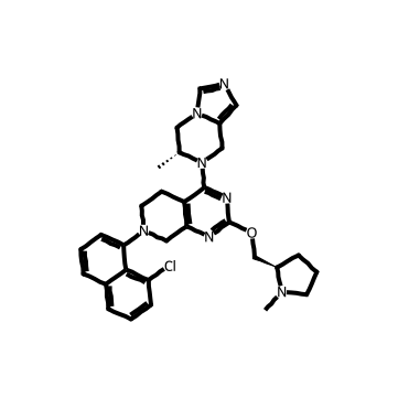 C[C@@H]1Cn2cncc2CN1c1nc(OC[C@H]2CCCN2C)nc2c1CCN(c1cccc3cccc(Cl)c13)C2